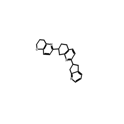 c1cnc2c(c1)CC(c1ccc3c(n1)CC(c1ccc4c(n1)CCCO4)CC3)C2